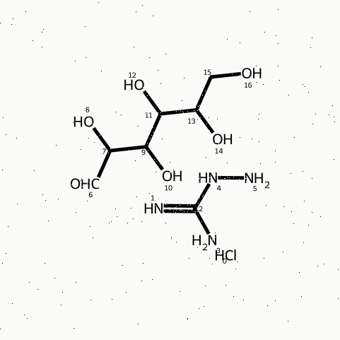 Cl.N=C(N)NN.O=CC(O)C(O)C(O)C(O)CO